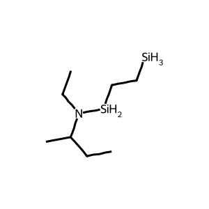 CCC(C)N(CC)[SiH2]CC[SiH3]